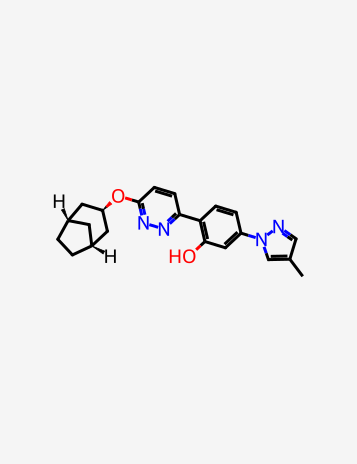 Cc1cnn(-c2ccc(-c3ccc(O[C@H]4C[C@@H]5CC[C@@H](C5)C4)nn3)c(O)c2)c1